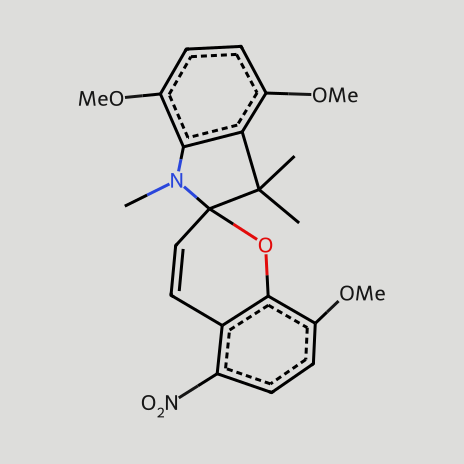 COc1ccc([N+](=O)[O-])c2c1OC1(C=C2)N(C)c2c(OC)ccc(OC)c2C1(C)C